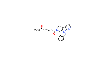 COC(=O)CCCCC(=O)N1CCc2c(n(Cc3ccccc3)c3ncccc23)C1